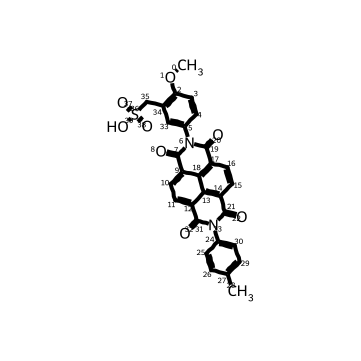 COc1ccc(N2C(=O)c3ccc4c5c(ccc(c35)C2=O)C(=O)N(c2ccc(C)cc2)C4=O)cc1CS(=O)(=O)O